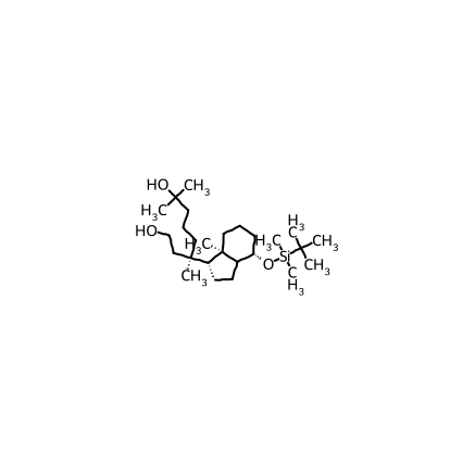 CC(C)(O)CCC[C@](C)(CCO)[C@H]1CCC2[C@@H](O[Si](C)(C)C(C)(C)C)CCC[C@@]21C